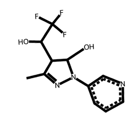 CC1=NN(c2cccnc2)C(O)C1C(O)C(F)(F)F